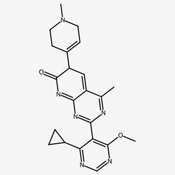 COc1ncnc(C2CC2)c1-c1nc(C)c2c(n1)=NC(=O)C(C1=CCN(C)CC1)C=2